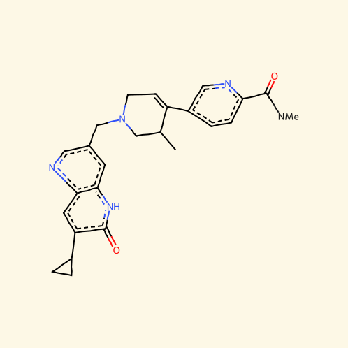 CNC(=O)c1ccc(C2=CCN(Cc3cnc4cc(C5CC5)c(=O)[nH]c4c3)CC2C)cn1